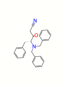 N#CCC(=O)[C@@H](Cc1ccccc1)N(Cc1ccccc1)Cc1ccccc1